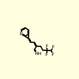 N=C/C(=C\C=C1/c2cccnc21)CCC(F)(F)C(F)F